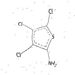 Nc1sc(Cl)c(Cl)c1Cl